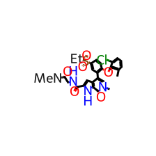 CCS(=O)(=O)c1ccc(Oc2c(C)cccc2Cl)c(-c2cn(C)c(=O)c3[nH]c(C(=O)NCC(=O)NC)cc23)c1